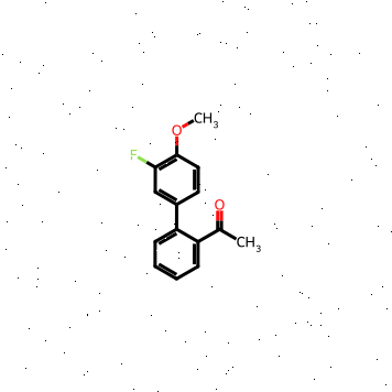 COc1ccc(-c2ccccc2C(C)=O)cc1F